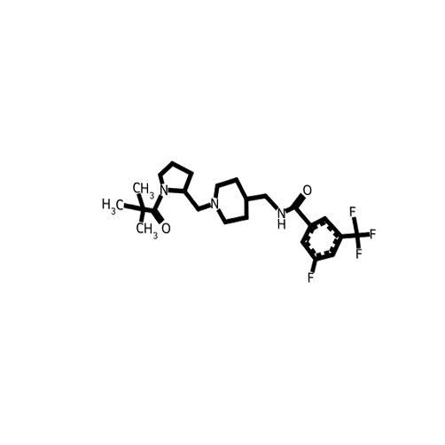 CC(C)(C)C(=O)N1CCCC1CN1CCC(CNC(=O)c2cc(F)cc(C(F)(F)F)c2)CC1